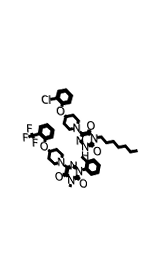 CCCCCCCn1c(=O)[nH]nc(N2CCC(Oc3ccccc3Cl)CC2)c1=O.Cc1ccccc1-n1nc(N2CCC(Oc3ccccc3C(F)(F)F)CC2)c(=O)n(C)c1=O